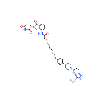 O=C1CCC(N2Cc3c(NC(=O)COCCCCCCOc4ccc(C5CCN(C6=Nn7c(nnc7C(F)(F)F)CC6)CC5)cc4)cccc3C2=O)C(=O)N1